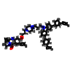 Cc1ccc(-c2ccc3c(c2)c2cc(-c4ccc(C)cc4)ccc2n3CCCN2CCN(CCCOc3cc4c(cc3C)C(=O)N3CCC[C@H]3C=N4)CC2)cc1